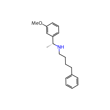 COc1cccc([C@@H](C)NCCCCc2ccccc2)c1